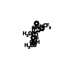 C[C@@H](NC(=O)/C=C/c1ccc(C(F)(F)F)nc1Nc1ccccc1)c1ccc(NS(C)(=O)=O)c(F)c1